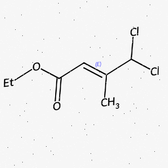 CCOC(=O)/C=C(\C)C(Cl)Cl